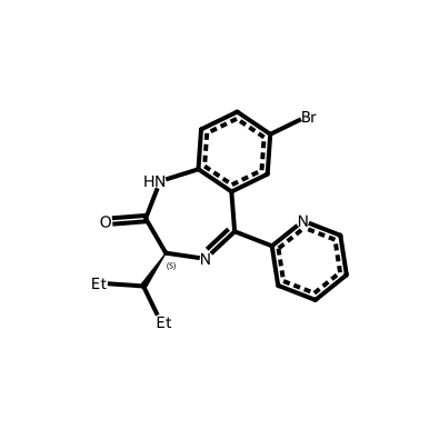 CCC(CC)[C@@H]1N=C(c2ccccn2)c2cc(Br)ccc2NC1=O